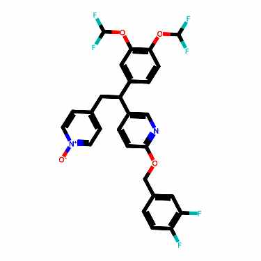 [O-][n+]1ccc(CC(c2ccc(OCc3ccc(F)c(F)c3)nc2)c2ccc(OC(F)F)c(OC(F)F)c2)cc1